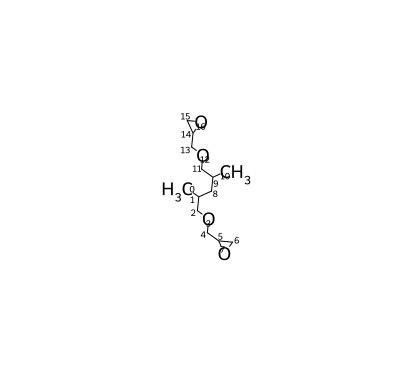 CC(COCC1CO1)CC(C)COCC1CO1